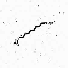 CCCCCCCCCCCCCCCC[C@H]1CO1